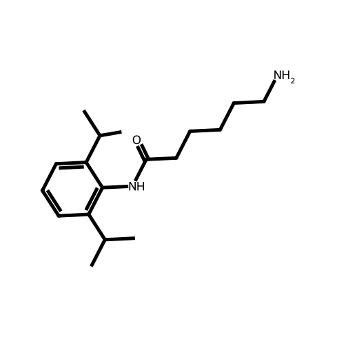 CC(C)c1cccc(C(C)C)c1NC(=O)CCCCCN